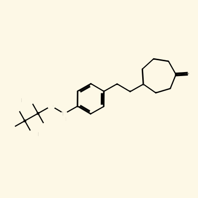 CC(C)(O)C(C)(C)OBc1ccc(CCC2CCCC(=O)CC2)cc1